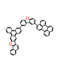 c1ccc2c(c1)ccc1c3cc4c5ccc(-c6ccc7oc8ccc(-c9ccc%10c%11cccc%12cccc(c%13cccc9c%13%10)c%12%11)cc8c7c6)cc5c5ccccc5c4cc3oc21